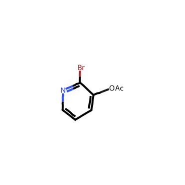 CC(=O)Oc1cccnc1Br